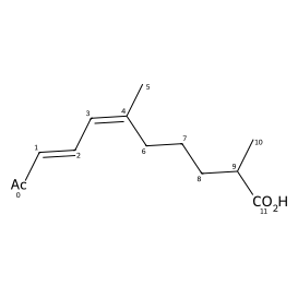 CC(=O)C=CC=C(C)CCCC(C)C(=O)O